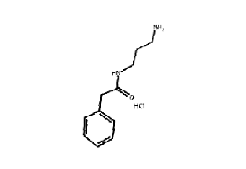 Cl.NCCCNC(=O)Cc1ccccc1